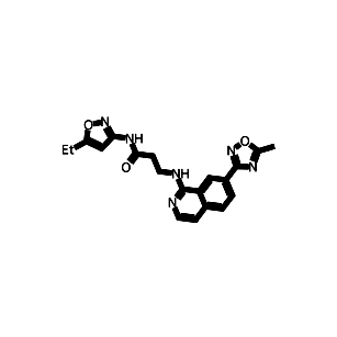 CCc1cc(NC(=O)CCNc2nccc3ccc(-c4noc(C)n4)cc23)no1